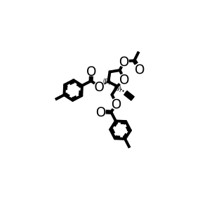 C#C[C@@]1(COC(=O)c2ccc(C)cc2)OC(OC(C)=O)C[C@H]1OC(=O)c1ccc(C)cc1